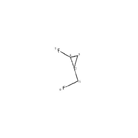 F[CH]C1CC1F